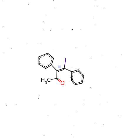 CC(=O)/C(=C(/I)c1ccccc1)c1ccccc1